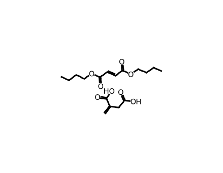 C=C(CC(=O)O)C(=O)O.CCCCOC(=O)/C=C/C(=O)OCCCC